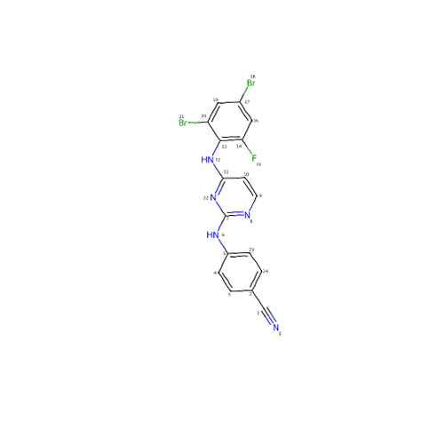 N#Cc1ccc(Nc2nccc(Nc3c(F)cc(Br)cc3Br)n2)cc1